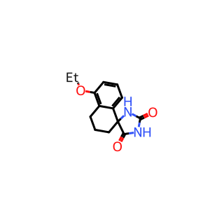 CCOc1cccc2c1CCCC21NC(=O)NC1=O